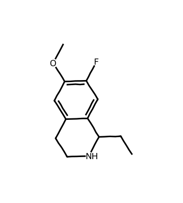 CCC1NCCc2cc(OC)c(F)cc21